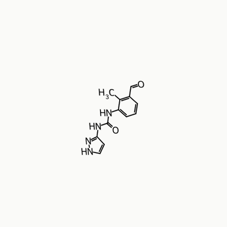 Cc1c(C=O)cccc1NC(=O)Nc1cc[nH]n1